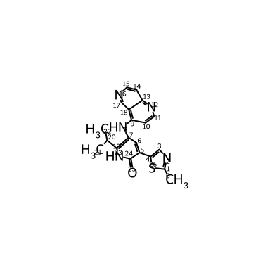 Cc1ncc(-c2cc(Nc3ccnc4ccncc34)c(C(C)C)[nH]c2=O)s1